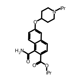 CC(C)OC(=O)c1ccc2cc(OC3CCN(C(C)C)CC3)ccc2c1C(N)=O